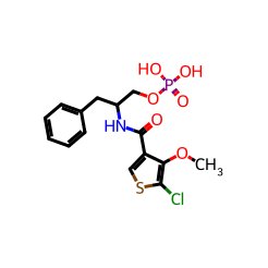 COc1c(C(=O)NC(COP(=O)(O)O)Cc2ccccc2)csc1Cl